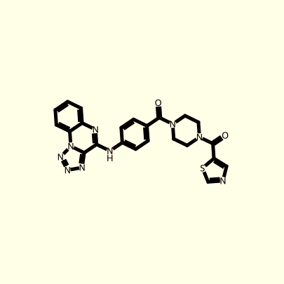 O=C(c1ccc(Nc2nc3ccccc3n3nnnc23)cc1)N1CCN(C(=O)c2cncs2)CC1